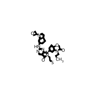 CCCN1C(=O)COc2ccc(-n3c4nc(Nc5ccc6ccn(C7COC7)c6c5)ncc4c(=O)n3CC=S)cc21